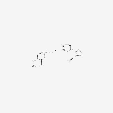 N#Cc1[nH]nnc1-c1cccc(OCCCc2ccc3c(c2)CCC(=O)N3)c1